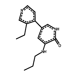 CCCNc1cc(-c2ccncc2CC)c[nH]c1=O